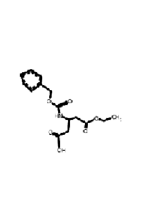 CCOC(=O)CC(CC(=O)O)NC(=O)OCc1ccccc1